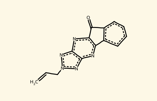 C=CCn1nc2nc3c(nc2n1)-c1ccccc1C3=O